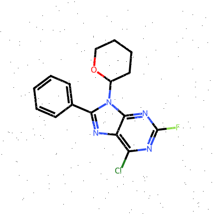 Fc1nc(Cl)c2nc(-c3ccccc3)n(C3CCCCO3)c2n1